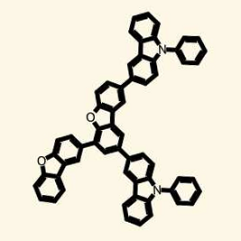 c1ccc(-n2c3ccccc3c3cc(-c4ccc5oc6c(-c7ccc8oc9ccccc9c8c7)cc(-c7ccc8c(c7)c7ccccc7n8-c7ccccc7)cc6c5c4)ccc32)cc1